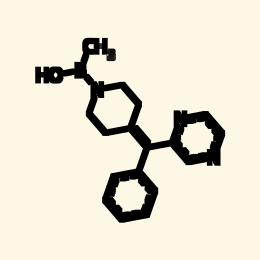 CB(O)N1CCC(=C(c2ccccc2)c2cnccn2)CC1